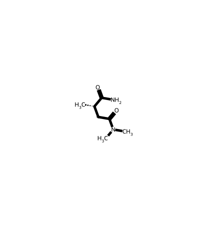 C[C@@H]([CH]C(=O)N(C)C)C(N)=O